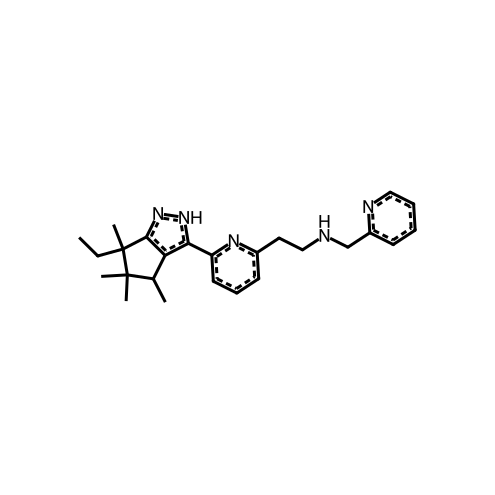 CCC1(C)c2n[nH]c(-c3cccc(CCNCc4ccccn4)n3)c2C(C)C1(C)C